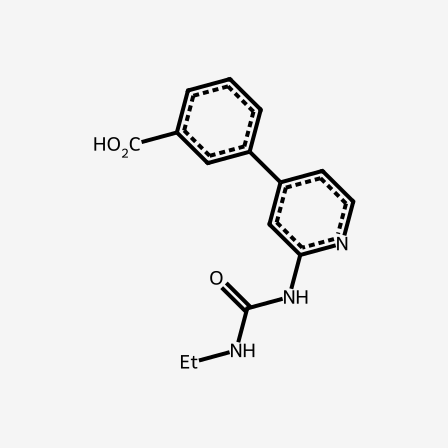 CCNC(=O)Nc1cc(-c2cccc(C(=O)O)c2)ccn1